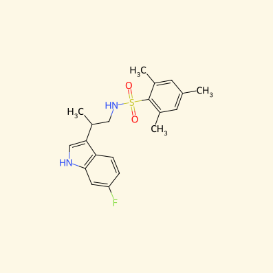 Cc1cc(C)c(S(=O)(=O)NCC(C)c2c[nH]c3cc(F)ccc23)c(C)c1